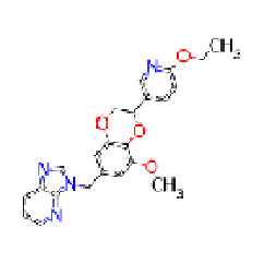 CCOc1ccc(C2COc3cc(Cn4cnc5cccnc54)cc(OC)c3O2)cn1